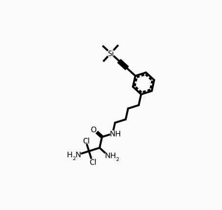 C[Si](C)(C)C#Cc1cccc(CCCCNC(=O)C(N)C(N)(Cl)Cl)c1